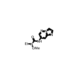 CCN(OC)C(=O)Nc1cnn2ccnc2c1